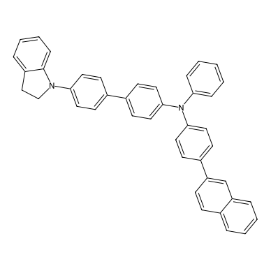 c1ccc(N(c2ccc(-c3ccc(N4CCc5ccccc54)cc3)cc2)c2ccc(-c3ccc4ccccc4c3)cc2)cc1